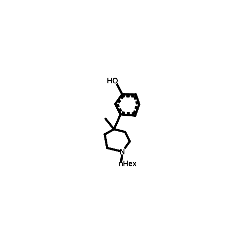 CCCCCCN1CCC(C)(c2cccc(O)c2)CC1